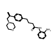 C=C(CN1CCOCC1)c1ccc(CCCC(=O)Nc2ccccc2N)cc1